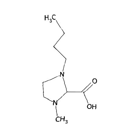 CCCCN1CCN(C)C1C(=O)O